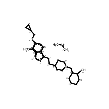 CNC.Cc1c(OCC2CC2)ccc2c(CCC3CCN(CC4CCCCC4O)CC3)noc12